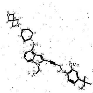 COc1cc(C(C)(C)C#N)ccc1NCC#Cc1cc2c(N[C@H]3CC[C@@H](N4CC5(COC5)C4)CC3)cccc2n1CC(F)(F)F